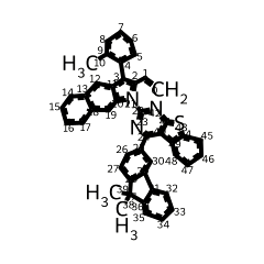 C=Cc1c(-c2ccccc2C)c2cc3ccccc3cc2n1-c1nc(-c2ccc3c(c2)-c2ccccc2C3(C)C)c2c(n1)sc1ccccc12